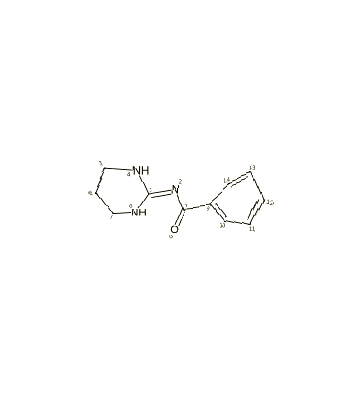 O=C(N=C1NCCCN1)c1ccccc1